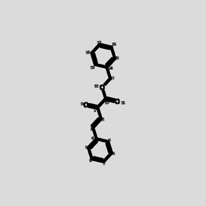 O=C(C=Cc1ccccc1)C(=O)OCc1ccccc1